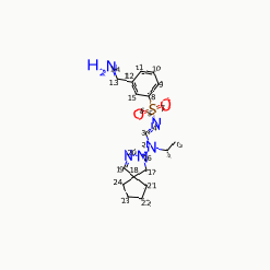 CCN(C=NS(=O)(=O)c1cccc(CN)c1)N1CC2(C=N1)CCCC2